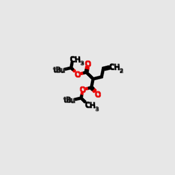 C=CCC(C(=O)OC(C)C(C)(C)C)C(=O)OC(C)C(C)(C)C